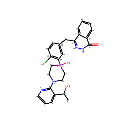 CC(O)c1cccnc1N1CC[PH](O)(c2cc(Cc3n[nH]c(=O)c4ccccc34)ccc2F)CC1